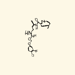 C=C(CCNNOCOc1ccc(Cl)c(F)c1)NC(=O)c1cc(C)ccn1